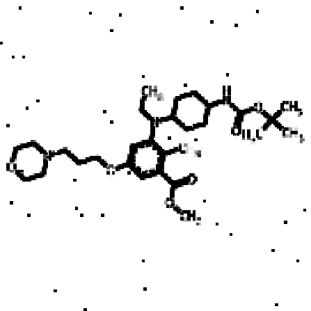 CCN(c1cc(OCCCN2CCOCC2)cc(C(=O)OC)c1C)C1CCC(NC(=O)OC(C)(C)C)CC1